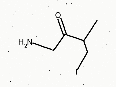 CC(CI)C(=O)CN